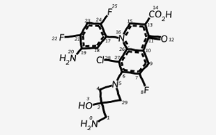 NCC1(O)CN(c2c(F)cc3c(=O)c(C(=O)O)cn(-c4cc(N)c(F)cc4F)c3c2Cl)C1